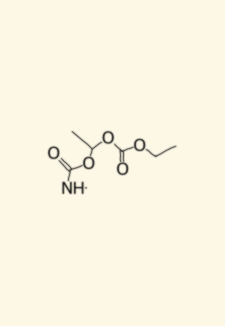 CCOC(=O)OC(C)OC([NH])=O